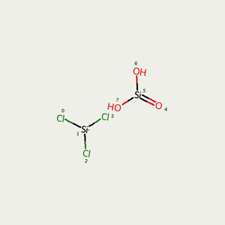 Cl[Si](Cl)Cl.O=[Si](O)O